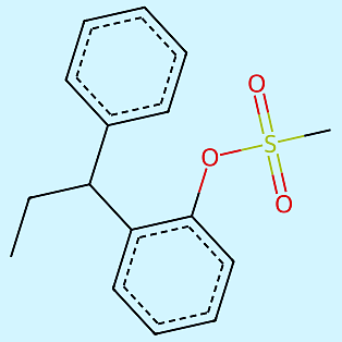 CCC(c1ccccc1)c1ccccc1OS(C)(=O)=O